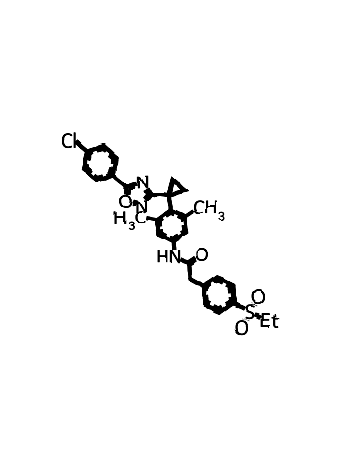 CCS(=O)(=O)c1ccc(CC(=O)Nc2cc(C)c(C3(c4noc(-c5ccc(Cl)cc5)n4)CC3)c(C)c2)cc1